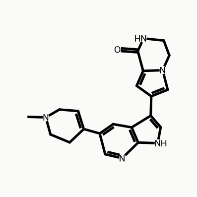 CN1CC=C(c2cnc3[nH]cc(-c4cc5n(c4)CCNC5=O)c3c2)CC1